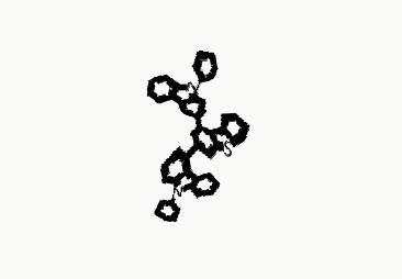 c1ccc(-n2c3ccccc3c3cc(-c4cc(-c5cccc6c5c5ccccc5n6-c5ccccc5)cc5sc6ccccc6c45)ccc32)cc1